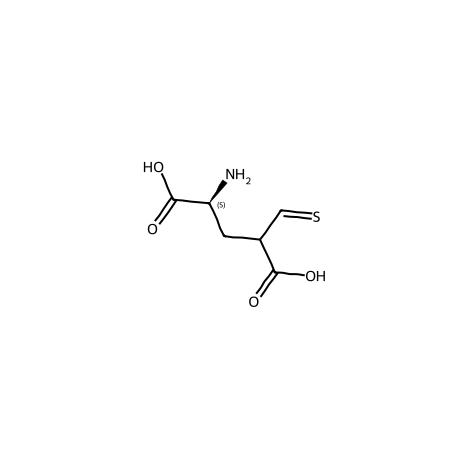 N[C@@H](CC(C=S)C(=O)O)C(=O)O